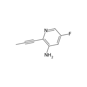 CC#Cc1ncc(F)cc1N